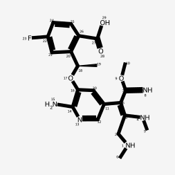 CNC/C(NC)=C(/C(=N)OC)c1cnc(N)c(O[C@H](C)c2cc(F)ccc2C(=O)O)c1